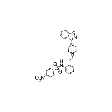 O=[N+]([O-])c1ccc(S(=O)(=O)Nc2ccccc2CCN2CCN(c3nsc4ccccc34)CC2)cc1